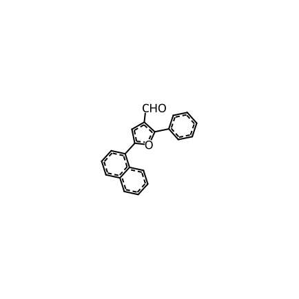 O=Cc1cc(-c2cccc3ccccc23)oc1-c1ccccc1